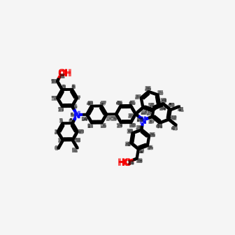 Cc1ccc(N(c2ccc(CO)cc2)c2ccc(C3C=CC(c4ccccc4)(N(c4ccc(CO)cc4)c4ccc(C)c(C)c4)C=C3)cc2)cc1C